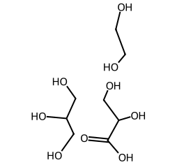 O=C(O)C(O)CO.OCC(O)CO.OCCO